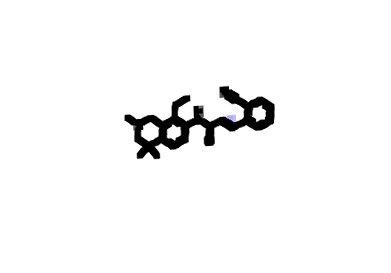 CCc1c(NC(=O)/C=C/c2ccccc2C#N)ccc2c1CN(C)CC2(C)C